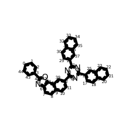 c1ccc(-c2nc3ccc4ccc(-c5nc(-c6ccc7ccccc7c6)nc(-c6ccc7ccccc7c6)n5)cc4c3o2)cc1